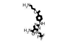 C=C(OCCCN)c1ccc(Nc2ncc(C(N)=O)c(NCC(F)(F)F)n2)cc1